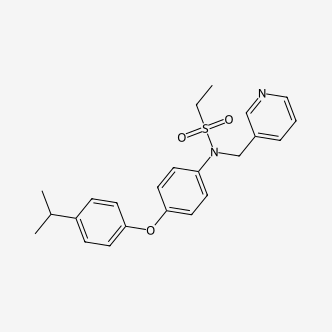 CCS(=O)(=O)N(Cc1cccnc1)c1ccc(Oc2ccc(C(C)C)cc2)cc1